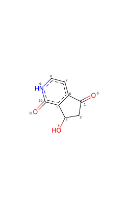 O=C1CC(O)c2c1cc[nH]c2=O